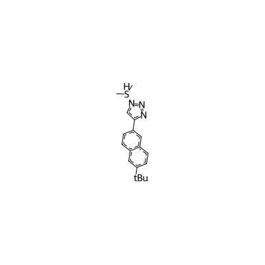 C[SH](C)n1cc(-c2ccc3cc(C(C)(C)C)ccc3c2)nn1